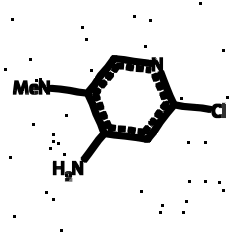 CNc1cnc(Cl)cc1N